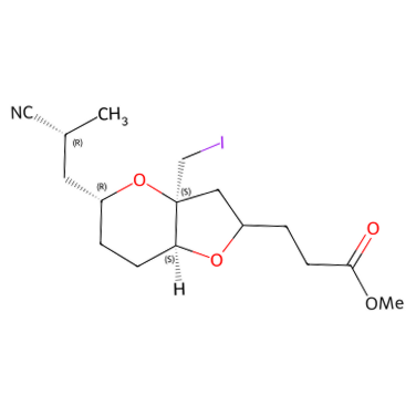 COC(=O)CCC1C[C@]2(CI)O[C@@H](C[C@@H](C)C#N)CC[C@@H]2O1